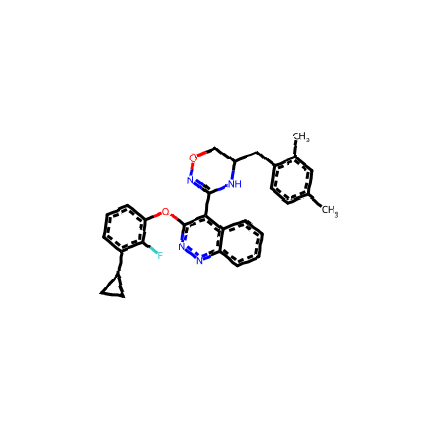 Cc1ccc(CC2CON=C(c3c(Oc4cccc(C5CC5)c4F)nnc4ccccc34)N2)c(C)c1